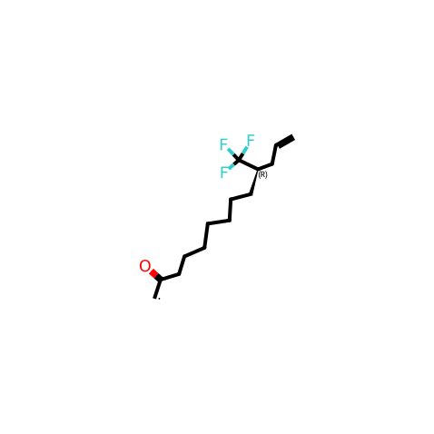 [CH2]C(=O)CCCCCCC[C@H](CC=C)C(F)(F)F